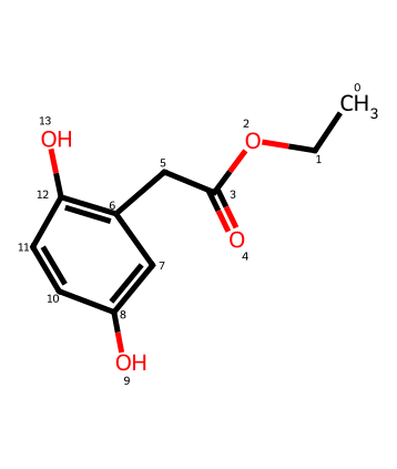 CCOC(=O)Cc1cc(O)ccc1O